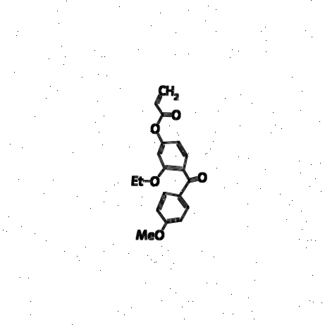 C=CC(=O)Oc1ccc(C(=O)c2ccc(OC)cc2)c(OCC)c1